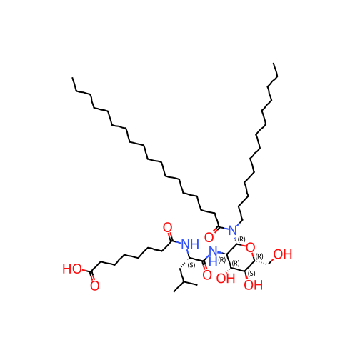 CCCCCCCCCCCCCCCCCC(=O)N(CCCCCCCCCCCCCC)[C@@H]1O[C@H](CO)[C@@H](O)[C@H](O)[C@H]1NC(=O)[C@H](CC(C)C)NC(=O)CCCCCCC(=O)O